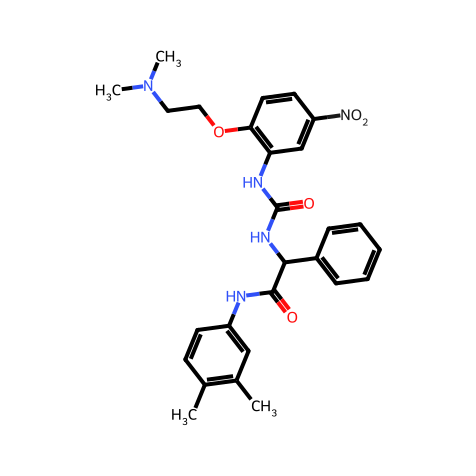 Cc1ccc(NC(=O)C(NC(=O)Nc2cc([N+](=O)[O-])ccc2OCCN(C)C)c2ccccc2)cc1C